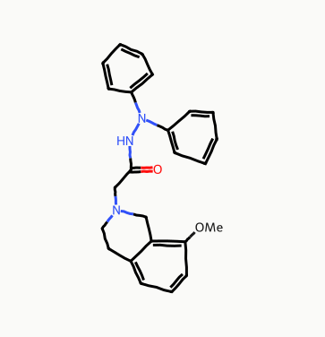 COc1cccc2c1CN(CC(=O)NN(c1ccccc1)c1ccccc1)CC2